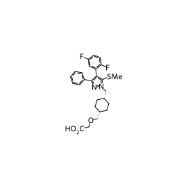 CSc1c(-c2cc(F)ccc2F)c(-c2ccccc2)nn1C[C@H]1CC[C@@H](COCC(=O)O)CC1